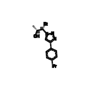 CC[C@@H]([C@@H](C)O)n1cc(-c2ccc(C(C)C)cc2)nn1